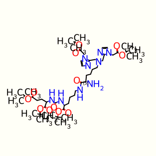 CC(C)(C)OC(=O)CCC(NC(=O)NC(CCCCNC(=O)[C@@H](N)CCCCN(Cc1nccn1CC(=O)OC(C)(C)C)Cc1nccn1CC(=O)OC(C)(C)C)C(=O)OC(C)(C)C)C(=O)OC(C)(C)C